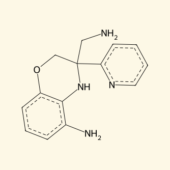 NCC1(c2ccccn2)COc2cccc(N)c2N1